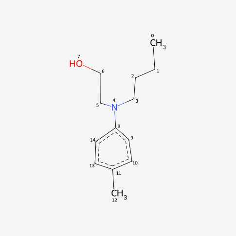 CCCCN(CCO)c1ccc(C)cc1